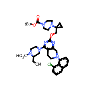 CC(C)(C)OC(=O)N1CCN(C2(COc3nc4c(c(N5CCN(C(=O)O)C(CC#N)C5)n3)CCN(c3cccc5cccc(Cl)c35)C4)CC2)CC1